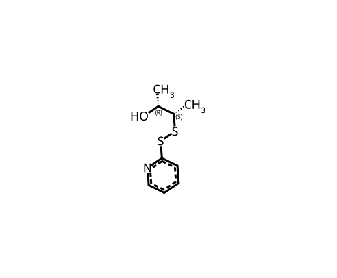 C[C@H](SSc1ccccn1)[C@@H](C)O